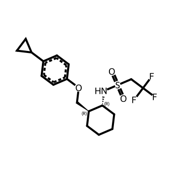 O=S(=O)(CC(F)(F)F)N[C@@H]1CCCC[C@H]1COc1ccc(C2CC2)cc1